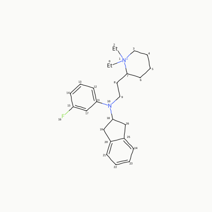 CC[N+]1(CC)CCCCC1CCN(c1cccc(F)c1)C1Cc2ccccc2C1